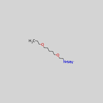 CCCOCCCCCOCCN=[N+]=[N-]